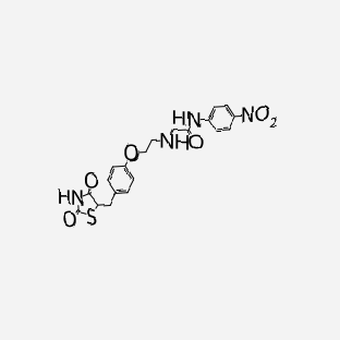 O=C(CNCCOc1ccc(CC2SC(=O)NC2=O)cc1)Nc1ccc([N+](=O)[O-])cc1